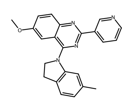 COc1ccc2nc(-c3cccnc3)nc(N3CCc4ccc(C)cc43)c2c1